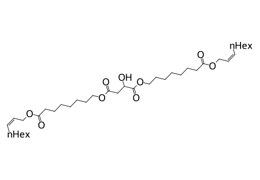 CCCCCC/C=C\COC(=O)CCCCCCCOC(=O)CC(O)C(=O)OCCCCCCCC(=O)OC/C=C\CCCCCC